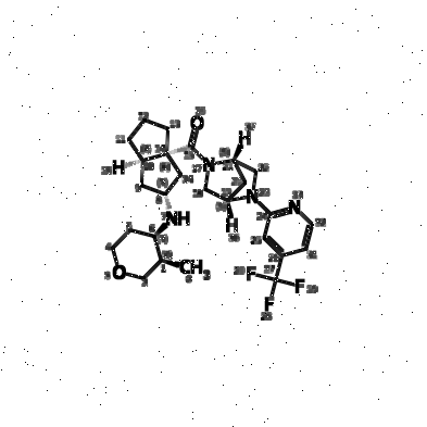 C[C@H]1COCC[C@H]1N[C@@H]1C[C@H]2CCC[C@@]2(C(=O)N2C[C@@H]3C[C@H]2CN3c2cc(C(F)(F)F)ccn2)C1